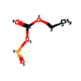 CCOC(=O)OP=O